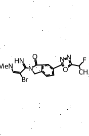 CN/C=C(/Br)C(=N)N1Cc2ccc(-c3nnc(C(C)F)o3)cc2C1=O